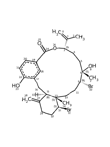 C=C(C)[C@@H]1CC[C@](C)(O)[C@H](Br)CC[C@@]2(C)[C@H](Cc3cc(ccc3O)C(=O)O1)C(=C)CC[C@@H]2Br